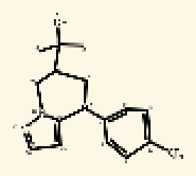 CC(C)(O)C1CN(c2ccc(C(F)(F)F)cc2)c2ccnn2C1